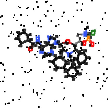 CN(C)P(=O)(Cl)OC[C@@H]1CN(C(c2ccccc2)(c2ccccc2)c2ccccc2)C[C@H](n2cnc3c(NC(=O)c4ccccc4)ncnc32)O1